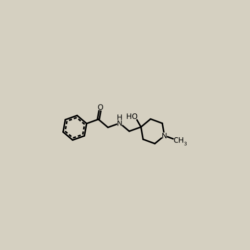 CN1CCC(O)(CNCC(=O)c2ccccc2)CC1